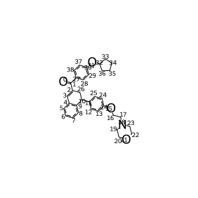 O=C(C1=Cc2ccccc2C(c2ccc(OCCN3CCOCC3)cc2)C1)c1ccc(OC2CCCC2)cc1